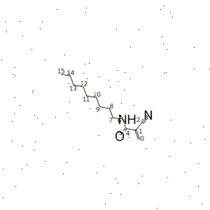 C=C(C#N)C(=O)NCCCCCCCCC